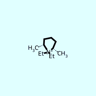 CC[N+]1(CC)[C@H](C)CCC[C@@H]1C